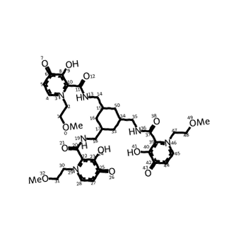 COCCn1ccc(=O)c(O)c1C(=O)NCC1CC(CNC(=O)c2c(O)c(=O)ccn2CCOC)CC(CNC(=O)c2c(O)c(=O)ccn2CCOC)C1